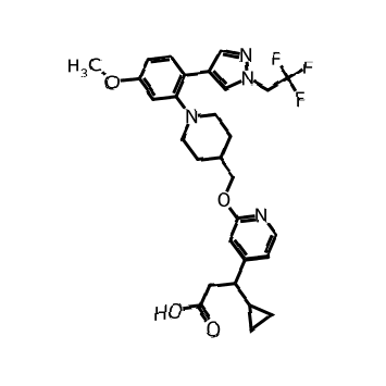 COc1ccc(-c2cnn(CC(F)(F)F)c2)c(N2CCC(COc3cc(C(CC(=O)O)C4CC4)ccn3)CC2)c1